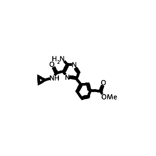 COC(=O)c1cccc(-c2cnc(N)c(C(=O)NC3CC3)n2)c1